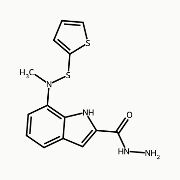 CN(Sc1cccs1)c1cccc2cc(C(=O)NN)[nH]c12